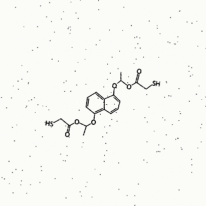 CC(OC(=O)CS)Oc1cccc2c(OC(C)OC(=O)CS)cccc12